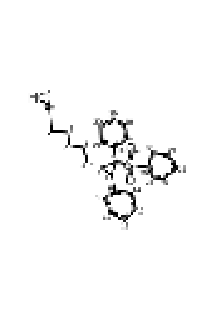 C#CCCCCC[C@H]1[C@H](c2ccccc2)[C@@]1(c1ccccc1)S(=O)(=O)c1ccccc1